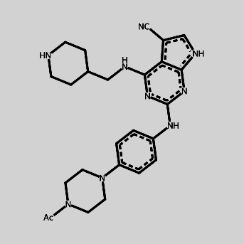 CC(=O)N1CCN(c2ccc(Nc3nc(NCC4CCNCC4)c4c(C#N)c[nH]c4n3)cc2)CC1